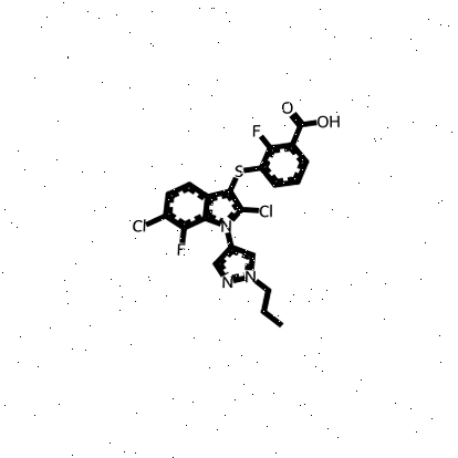 CCCn1cc(-n2c(Cl)c(Sc3cccc(C(=O)O)c3F)c3ccc(Cl)c(F)c32)cn1